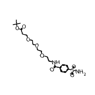 CC(C)(C)OC(=O)CCOCCOCCOCCNC(=O)c1ccc(S(N)(=O)=O)cc1